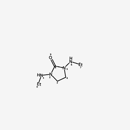 CCNN1CCN(NCC)C1=O